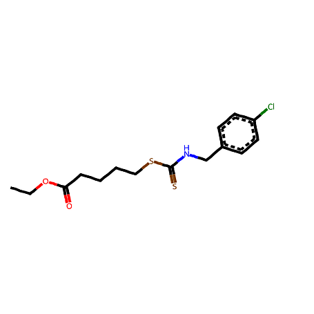 CCOC(=O)CCCCSC(=S)NCc1ccc(Cl)cc1